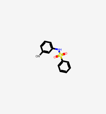 O=Nc1cccc(NS(=O)(=O)c2ccccc2)c1